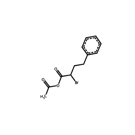 CC(=O)OC(=O)C(Br)CCc1ccccc1